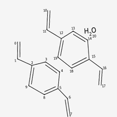 C=Cc1ccc(C=C)cc1.C=Cc1ccc(C=C)cc1.O